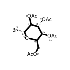 CC(=O)OCC1O[C@H](Br)C(OC(C)=O)[C@H](OC(C)=O)[C@H]1OC(C)=O